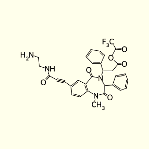 CN1C(=O)C(c2ccccc2)N(C(CC(=O)OC(=O)C(F)(F)F)c2ccccc2)C(=O)c2cc(C#CC(=O)NCCN)ccc21